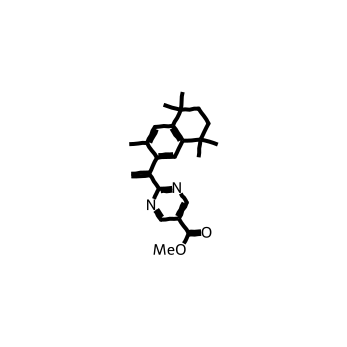 C=C(c1ncc(C(=O)OC)cn1)c1cc2c(cc1C)C(C)(C)CCC2(C)C